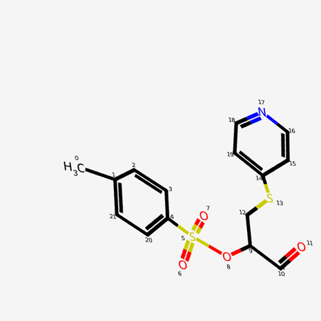 Cc1ccc(S(=O)(=O)OC([C]=O)CSc2ccncc2)cc1